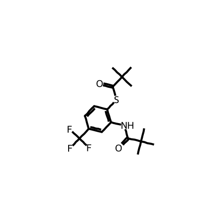 CC(C)(C)C(=O)Nc1cc(C(F)(F)F)ccc1SC(=O)C(C)(C)C